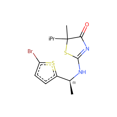 CC(C)C1(C)SC(N[C@@H](C)c2ccc(Br)s2)=NC1=O